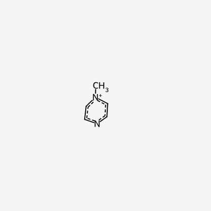 C[n+]1ccncc1